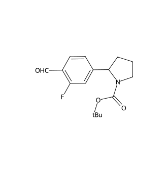 CC(C)(C)OC(=O)N1CCCC1c1ccc(C=O)c(F)c1